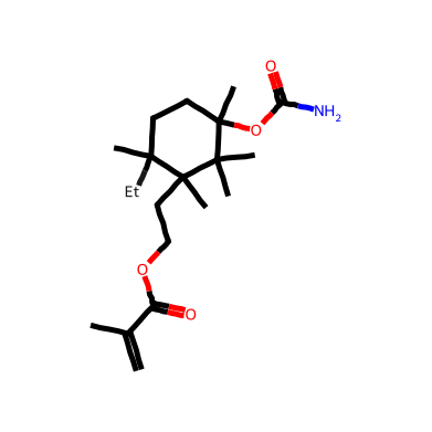 C=C(C)C(=O)OCCC1(C)C(C)(CC)CCC(C)(OC(N)=O)C1(C)C